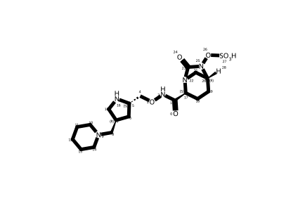 O=C(NOC[C@@H]1C[C@@H](CN2CCCCC2)CN1)[C@@H]1CC[C@@H]2CN1C(=O)N2OS(=O)(=O)O